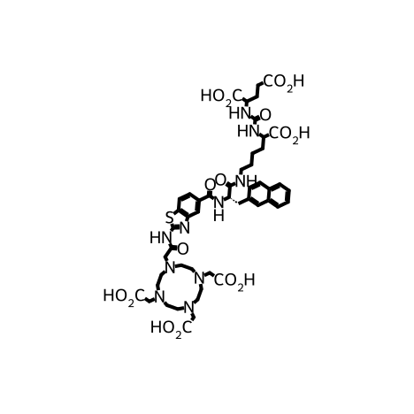 O=C(O)CCC(NC(=O)NC(CCCCNC(=O)[C@H](Cc1ccc2ccccc2c1)NC(=O)c1ccc2sc(NC(=O)CN3CCN(CC(=O)O)CCN(CC(=O)O)CCN(CC(=O)O)CC3)nc2c1)C(=O)O)C(=O)O